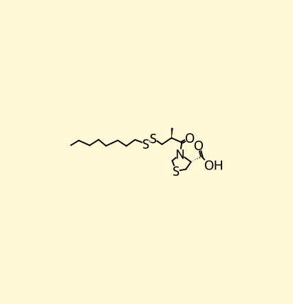 CCCCCCCCSSC[C@@H](C)C(=O)N1CSC[C@H]1C(=O)O